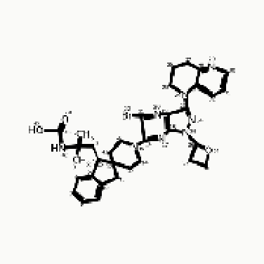 CC(C)(C[C@@H]1c2ccccc2CC12CCN(c1nc3c(nc1Br)c(N1CCCc4ncccc41)nn3C1CCO1)CC2)NC(=O)O